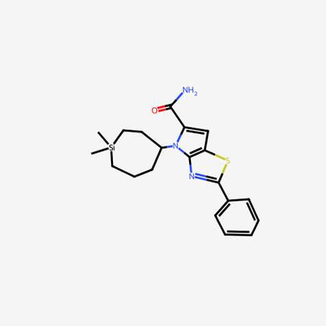 C[Si]1(C)CCCC(n2c(C(N)=O)cc3sc(-c4ccccc4)nc32)CC1